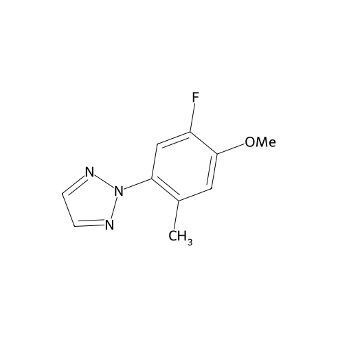 COc1cc(C)c(-n2nccn2)cc1F